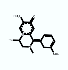 CC(C)COC1=CC=C/C(=C2\c3cc(=O)c(C(=O)O)cn3C(C(C)(C)C)CN2C)C1